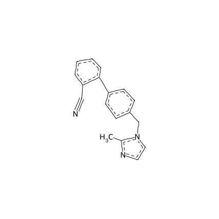 Cc1nccn1Cc1ccc(-c2ccccc2C#N)cc1